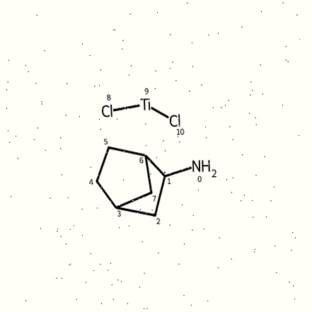 N[C]1CC2CCC1C2.[Cl][Ti][Cl]